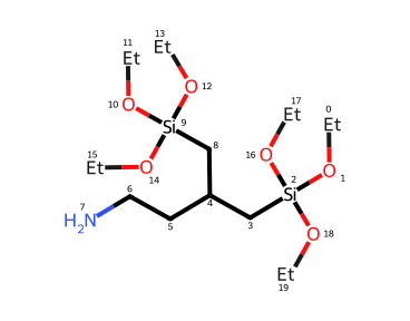 CCO[Si](CC(CCN)C[Si](OCC)(OCC)OCC)(OCC)OCC